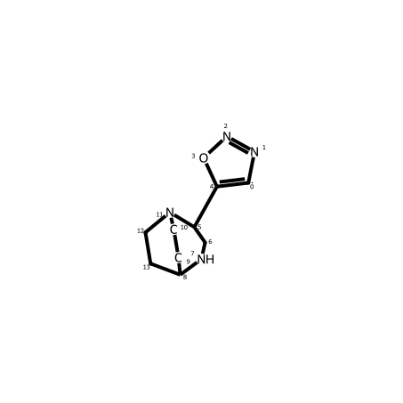 [c]1nnoc1C1CNC2CCN1CC2